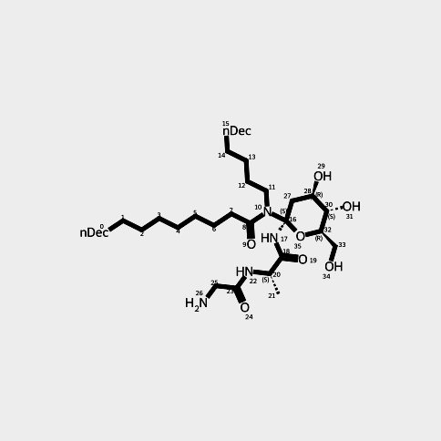 CCCCCCCCCCCCCCCCCC(=O)N(CCCCCCCCCCCCCC)[C@@]1(NC(=O)[C@H](C)NC(=O)CN)C[C@@H](O)[C@H](O)[C@@H](CO)O1